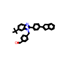 CC(C)(C)c1ccc2nc(-c3ccc(C4=Cc5ccccc5C4)cc3)n(Cc3ccc(C=O)cc3)c2c1